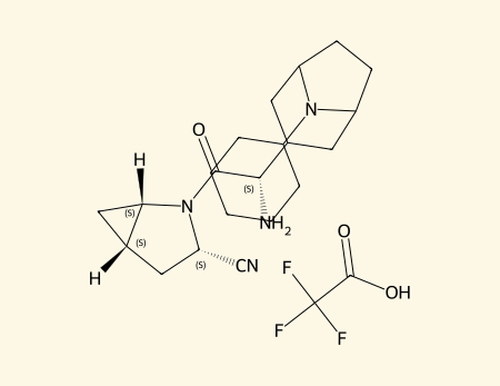 N#C[C@@H]1C[C@@H]2C[C@@H]2N1C(=O)[C@@H](N)C1CC2CCC(C1)N2C1CCCCC1.O=C(O)C(F)(F)F